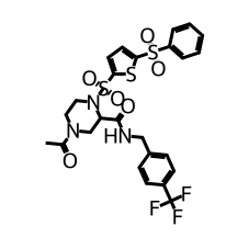 CC(=O)N1CCN(S(=O)(=O)c2ccc(S(=O)(=O)c3ccccc3)s2)C(C(=O)NCc2ccc(C(F)(F)F)cc2)C1